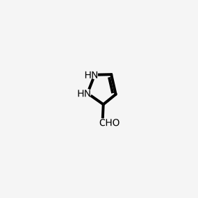 O=CC1C=CNN1